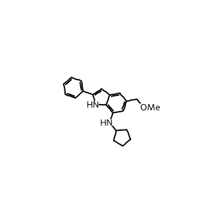 COCc1cc(NC2CCCC2)c2[nH]c(-c3ccccc3)cc2c1